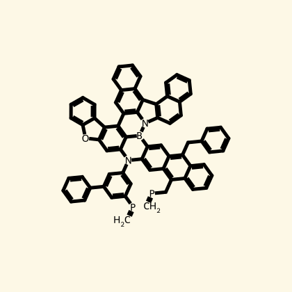 C=PCc1c2ccccc2c(Cc2ccccc2)c2cc3c(cc12)N(c1cc(P=C)cc(-c2ccccc2)c1)c1cc2oc4ccccc4c2c2c1B3n1c3ccc4ccccc4c3c3c4ccccc4cc-2c31